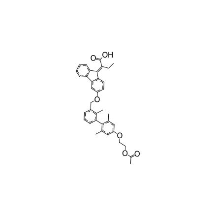 CCC(C(=O)O)=C1c2ccccc2-c2cc(OCc3cccc(-c4c(C)cc(OCCOC(C)=O)cc4C)c3C)ccc21